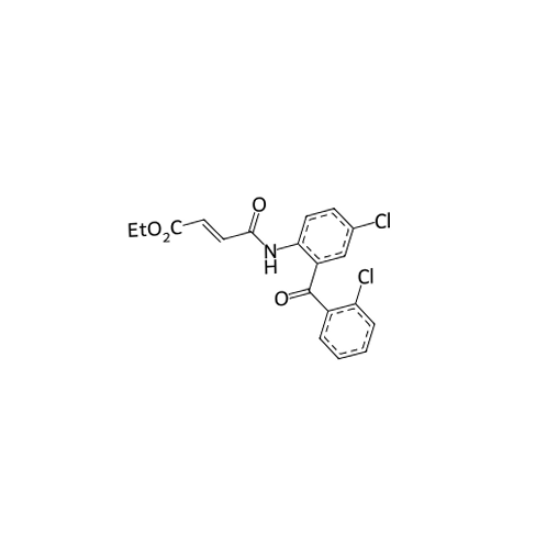 CCOC(=O)C=CC(=O)Nc1ccc(Cl)cc1C(=O)c1ccccc1Cl